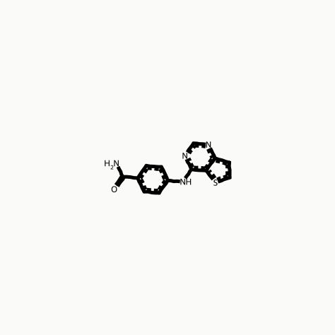 NC(=O)c1ccc(Nc2ncnc3ccsc23)cc1